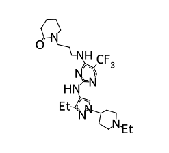 CCc1nn(C2CCN(CC)CC2)cc1Nc1ncc(C(F)(F)F)c(NCCCN2CCCCC2=O)n1